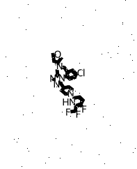 FC1=C(C(F)F)NC(N2CCC(c3nnc4n3-c3ccc(Cl)cc3CN([C@H]3CCOC3)C4)CC2)C=C1